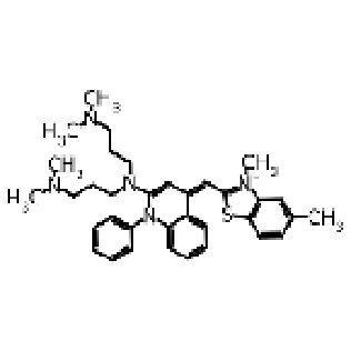 Cc1ccc2sc(/C=C3/C=C(N(CCCN(C)C)CCCN(C)C)N(c4ccccc4)c4ccccc43)[n+](C)c2c1